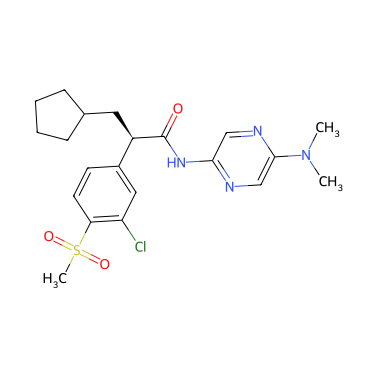 CN(C)c1cnc(NC(=O)[C@H](CC2CCCC2)c2ccc(S(C)(=O)=O)c(Cl)c2)cn1